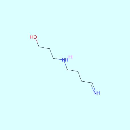 I.N=CCCCNCCCO